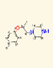 Cc1ccc(OC(C)CN2CCNCC2)cc1